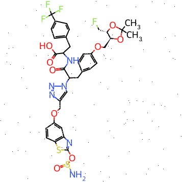 CC1(C)O[C@@H](CF)[C@H](COc2ccc(CC(C(=O)NC(Cc3ccc(C(F)(F)F)cc3)C(=O)O)n3cc(COc4ccc5sc(OS(N)=O)nc5c4)nn3)cc2)O1